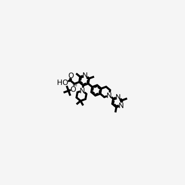 Cc1cc(N2CCc3cc(-c4c(C)nc(C)c([C@H](OC(C)(C)C)C(=O)O)c4N4CCC(C)(C)CC4)ccc3C2)nc(C)n1